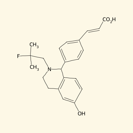 CC(C)(F)CN1CCc2cc(O)ccc2C1c1ccc(C=CC(=O)O)cc1